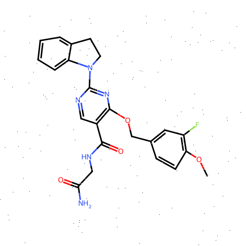 COc1ccc(COc2nc(N3CCc4ccccc43)ncc2C(=O)NCC(N)=O)cc1F